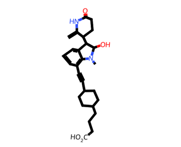 C=C1NC(=O)CCC1C1c2cccc(C#CC3CCC(CCCC(=O)O)CC3)c2N(C)C1O